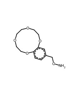 NOCc1ccc2c(c1)OCCOCCOCCO2